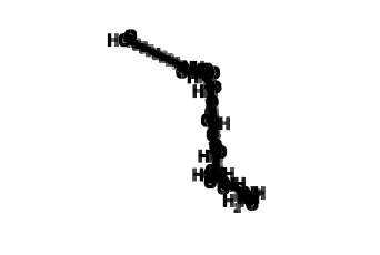 CC[C@H](N[C@H](CCCCNC(=O)CC[C@H](NC(=O)CCCNC(=O)COCCOCCNC(=O)COCCOCCNC(=O)CC[C@H](NC(=O)CCCNC(=O)CCCCCCCCCCCCCCCCC(=O)O)C(=O)O)C(=O)O)NI)C(N)=O